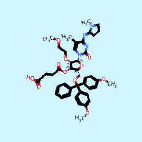 COCCO[C@@H]1[C@H](OC(=O)CCC(=O)O)[C@@H](COC(c2ccccc2)(c2ccc(OC)cc2)c2ccc(OC)cc2)O[C@H]1n1cc(C)c(/N=C2\CCCN2C)nc1=O